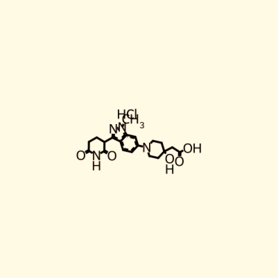 Cl.Cn1nc(C2CCC(=O)NC2=O)c2ccc(N3CCC(O)(CC(=O)O)CC3)cc21